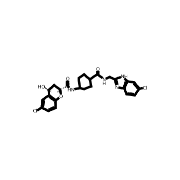 O=C(NCc1nc2ccc(Cl)cc2[nH]1)C1CCC(NC(=O)[C@H]2C[C@@H](O)c3cc(Cl)ccc3O2)CC1